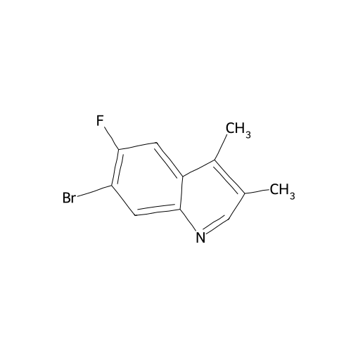 Cc1cnc2cc(Br)c(F)cc2c1C